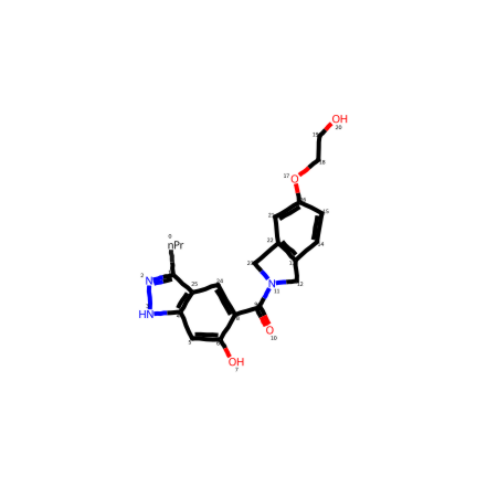 CCCc1n[nH]c2cc(O)c(C(=O)N3Cc4ccc(OCCO)cc4C3)cc12